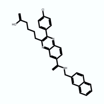 C=C(O)CCCCc1nc2cc(C(=C)NCc3ccc4ccccc4c3)ccc2nc1-c1ccc(Cl)cc1